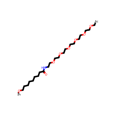 CC(=O)COCCOCCOCCOCCOCCOCCNC(=O)CCCCCCCCOC(C)C